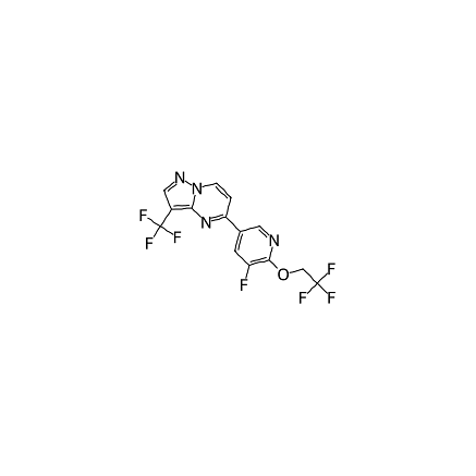 Fc1cc(-c2ccn3ncc(C(F)(F)F)c3n2)cnc1OCC(F)(F)F